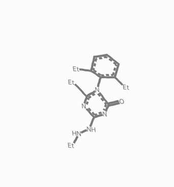 CCNNc1nc(CC)n(-c2c(CC)cccc2CC)c(=O)n1